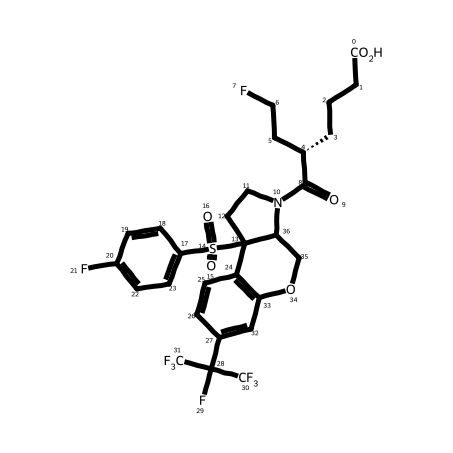 O=C(O)CCC[C@@H](CCF)C(=O)N1CCC2(S(=O)(=O)c3ccc(F)cc3)c3ccc(C(F)(C(F)(F)F)C(F)(F)F)cc3OCC12